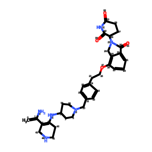 C=C(N)C1=C(NC2CCN(Cc3ccc(CCOc4cccc5c4CN(C4CCC(=O)NC4=O)C5=O)cc3)CC2)CCNC1